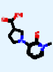 Cn1cccc(N2CCC(C(=O)O)C2)c1=O